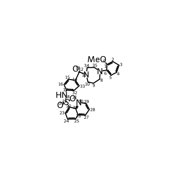 COc1ccccc1N1CCCN(C(=O)c2ccc(NS(=O)(=O)c3cccc4cccnc34)cc2)CC1